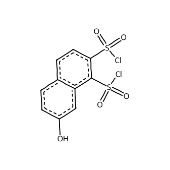 O=S(=O)(Cl)c1ccc2ccc(O)cc2c1S(=O)(=O)Cl